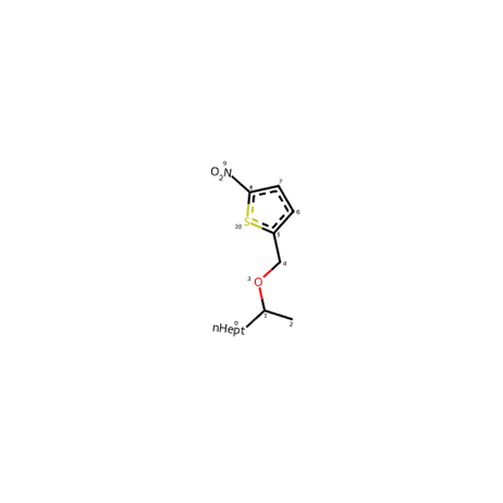 CCCCCCCC(C)OCc1ccc([N+](=O)[O-])s1